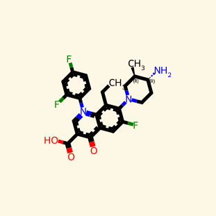 CCc1c(N2CC[C@@H](N)[C@H](C)C2)c(F)cc2c(=O)c(C(=O)O)cn(-c3ccc(F)cc3F)c12